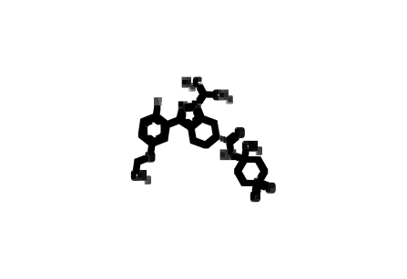 CCOc1ccc(F)c(-c2nn(C(C)C)c3c2CC[C@@H](C(=O)NC2(C)CCS(=O)(=O)CC2)C3)c1